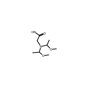 COC(C)N(CC([NH])=O)C(C)OC